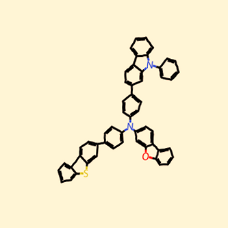 c1ccc(-n2c3ccccc3c3ccc(-c4ccc(N(c5ccc(-c6ccc7c(c6)sc6ccccc67)cc5)c5ccc6c(c5)oc5ccccc56)cc4)cc32)cc1